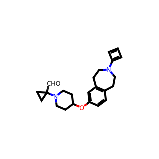 O=CC1(N2CCC(Oc3ccc4c(c3)CCN(C3=CC=C3)CC4)CC2)CC1